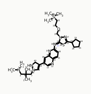 CN(C)CC(C)(C)CN1C=C(c2cnc3ccc(/N=c4\sc(C5CCCC5)nn4COCC[Si](C)(C)C)nc3c2)CN1